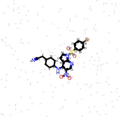 N#CCC1CCC(Nc2c([N+](=O)[O-])cnc3c2ccn3S(=O)(=O)c2ccc(Br)cc2)CC1